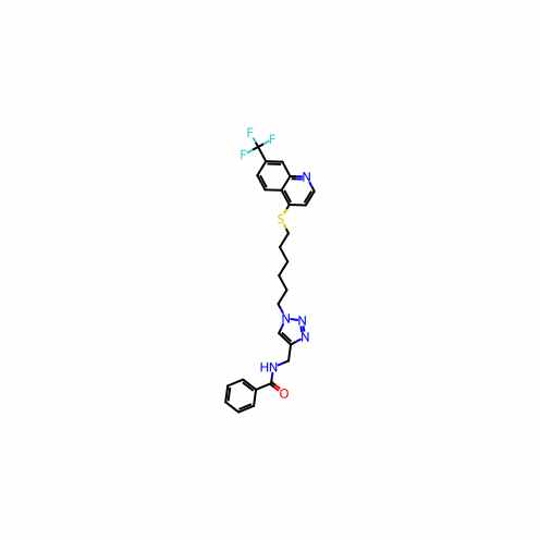 O=C(NCc1cn(CCCCCCSc2ccnc3cc(C(F)(F)F)ccc23)nn1)c1ccccc1